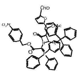 CC(=O)OC(c1ccc(C=O)o1)C1C(=O)N(C(C(=O)OCc2ccc([N+](=O)[O-])cc2)=P(c2ccccc2)(c2ccccc2)c2ccccc2)C1SC(c1ccccc1)(c1ccccc1)c1ccccc1